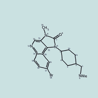 CNCC1CCC(n2c(=O)n(C)c3cnc4ccc(Br)cc4c32)CC1